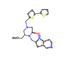 COCC1CN(Cc2ccc(-c3cccs3)s2)CC(=O)N1Cc1cc2cnccc2[nH]1